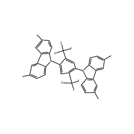 Cc1ccc2c(c1)c1cc(C)ccc1n2-c1cc(C(F)(F)F)c(-n2c3ccc(C)cc3c3cc(C)ccc32)cc1C(F)(F)F